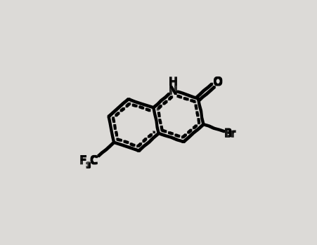 O=c1[nH]c2ccc(C(F)(F)F)cc2cc1Br